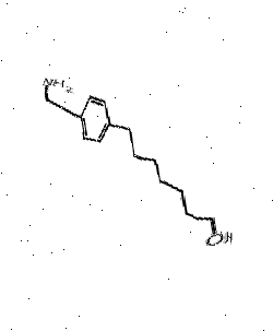 NCc1ccc(CCCCCCCO)cc1